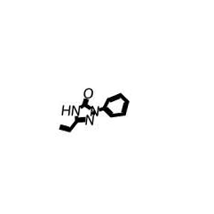 C=Cc1nn(-c2ccccc2)c(=O)[nH]1